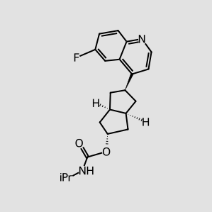 CC(C)NC(=O)O[C@H]1C[C@@H]2C[C@H](c3ccnc4ccc(F)cc34)C[C@@H]2C1